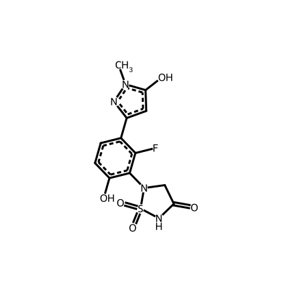 Cn1nc(-c2ccc(O)c(N3CC(=O)NS3(=O)=O)c2F)cc1O